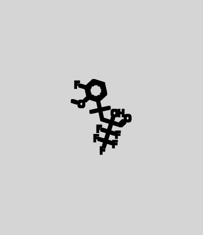 COc1c(F)cccc1C(C)(C)CC(O)(C=O)C(F)(F)C(F)(F)F